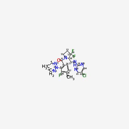 C=NN(/N=C\C)c1c(C(=O)N2CCC(F)(F)C2CNc2ncc(Cl)cn2)ccc(C)c1F